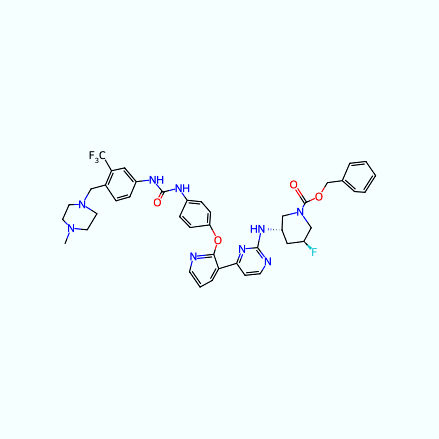 CN1CCN(Cc2ccc(NC(=O)Nc3ccc(Oc4ncccc4-c4ccnc(N[C@H]5C[C@H](F)CN(C(=O)OCc6ccccc6)C5)n4)cc3)cc2C(F)(F)F)CC1